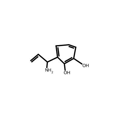 C=CC(N)c1cccc(O)c1O